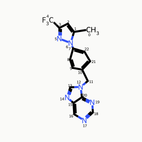 Cc1cc(C(F)(F)F)nn1-c1ccc(Cn2cnc3cncnc32)cc1